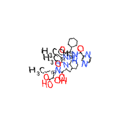 CCC[C@H](NC(=O)C1CC2CCCCC2N1C(=O)[C@@H](NC(=O)[C@@H](NC(=O)c1cnccn1)C1CCCCC1)C(C)(C)C)C(O)C(=O)O